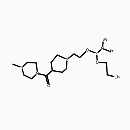 CC(C)N(C(C)C)P(OCCC#N)OCCN1CCC(C(=O)N2CCN(I)CC2)CC1